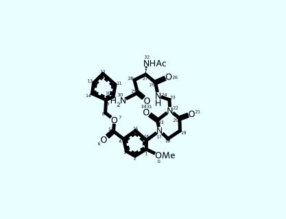 COc1ccc(C(=O)OCc2ccccc2)cc1N1CCC(=O)N(CNC(=O)[C@H](CC(N)=O)NC(C)=O)C1=O